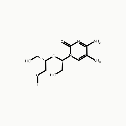 Cc1cn([C@@H](CO)O[C@@H](CO)COI)c(=O)nc1N